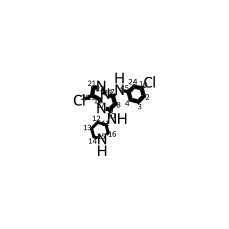 Clc1cccc(Nc2cc(N[C@H]3CCCNC3)nc3c(Cl)cnn23)c1